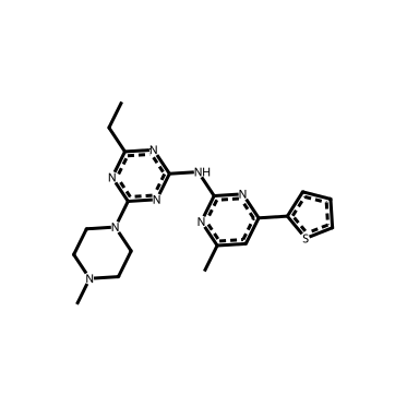 CCc1nc(Nc2nc(C)cc(-c3cccs3)n2)nc(N2CCN(C)CC2)n1